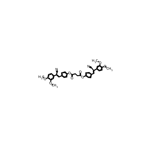 COc1ccc(/C(C#N)=C/c2ccc(OC(=O)CCC(=O)Oc3ccc(/C=C(\C#N)c4ccc(OC)c(OC)c4)cc3)cc2)cc1OC